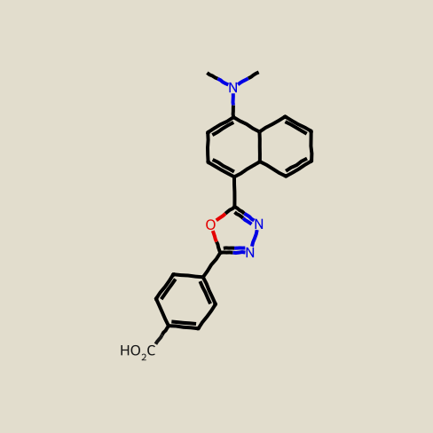 CN(C)C1=CC=C(c2nnc(-c3ccc(C(=O)O)cc3)o2)C2C=CC=CC12